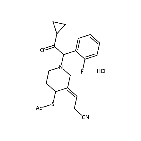 CC(=O)SC1CCN(C(C(=O)C2CC2)c2ccccc2F)C/C1=C/CC#N.Cl